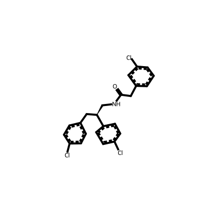 O=C(Cc1cccc(Cl)c1)NC[C@H](Cc1ccc(Cl)cc1)c1ccc(Cl)cc1